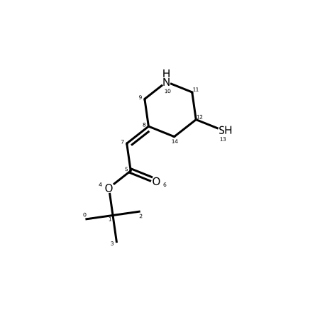 CC(C)(C)OC(=O)/C=C1/CNCC(S)C1